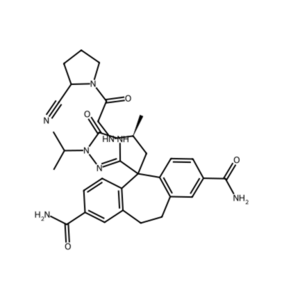 CC(C)n1nc(C2(C[C@H](C)NCC(=O)N3CCCC3C#N)c3ccc(C(N)=O)cc3CCc3cc(C(N)=O)ccc32)[nH]c1=O